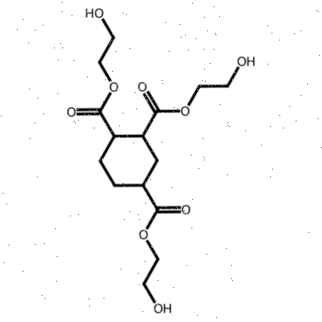 O=C(OCCO)C1CCC(C(=O)OCCO)C(C(=O)OCCO)C1